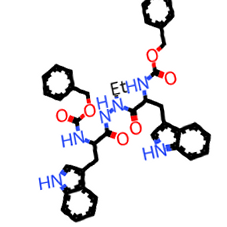 CCN(NC(=O)C(Cc1c[nH]c2ccccc12)NC(=O)OCc1ccccc1)C(=O)C(Cc1c[nH]c2ccccc12)NC(=O)OCc1ccccc1